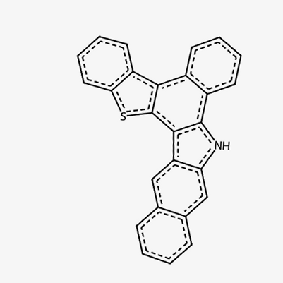 c1ccc2cc3c(cc2c1)[nH]c1c2ccccc2c2c4ccccc4sc2c31